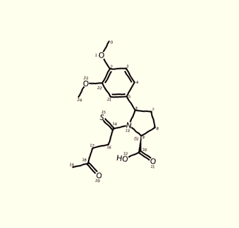 COc1ccc(C2CC[C@@H](C(=O)O)N2C(=S)CCC(C)=O)cc1OC